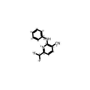 N#Cc1ccc(C(F)F)nc1Nc1ccccc1